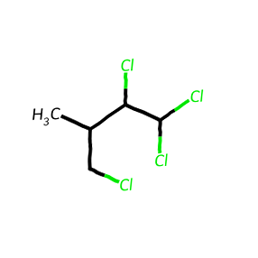 CC(CCl)C(Cl)C(Cl)Cl